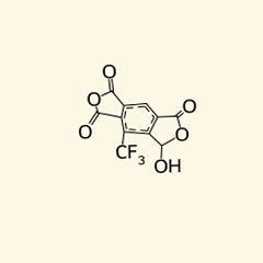 O=C1OC(=O)c2c1cc1c(c2C(F)(F)F)C(O)OC1=O